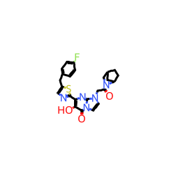 O=C(Cn1ccn2c(=O)c(O)c(-c3ncc(Cc4ccc(F)cc4)s3)nc12)N1CC2CCC1C2